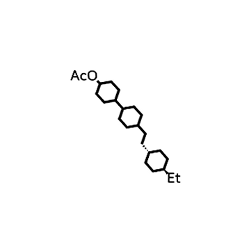 CC[C@H]1CC[C@H](CCC2CCC(C3CCC(OC(C)=O)CC3)CC2)CC1